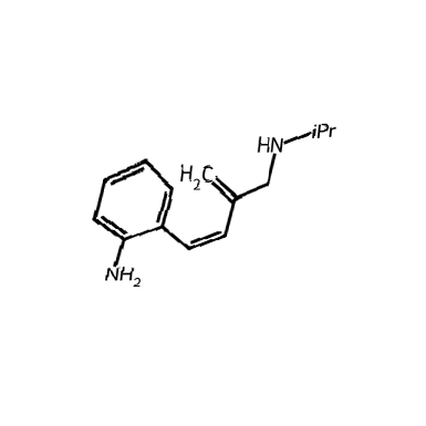 C=C(/C=C\c1ccccc1N)CNC(C)C